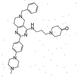 CN1CCN(c2ccc(-c3nc4c(c(NCCCN5CCC(=O)CC5)n3)CN(Cc3ccccc3)CC4)cc2)CC1